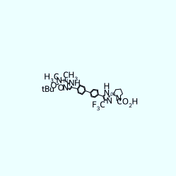 C[C@@H](c1ncc(-c2ccc(-c3ccc(-c4[nH]c([C@@H]5CCCN5C(=O)O)nc4C(F)(F)F)cc3)cc2)[nH]1)N(C)C(=O)OC(C)(C)C